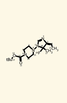 C/C=C1/N=CN(N2CCN(C(=O)OC(C)(C)C)CC2)C1(C)F